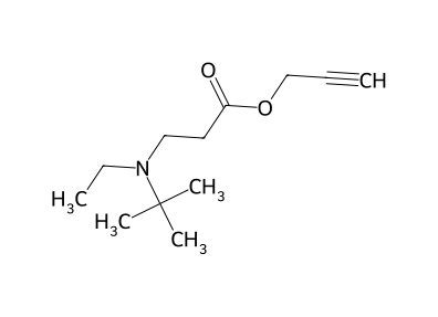 C#CCOC(=O)CCN(CC)C(C)(C)C